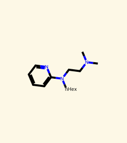 CCCCCCN(CCN(C)C)c1ccccn1